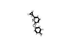 Fc1ccc(Oc2cccc([C]3CC3)n2)cc1